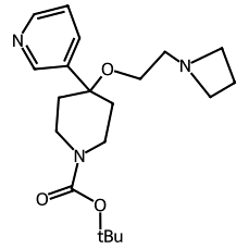 CC(C)(C)OC(=O)N1CCC(OCCN2CCC2)(c2cccnc2)CC1